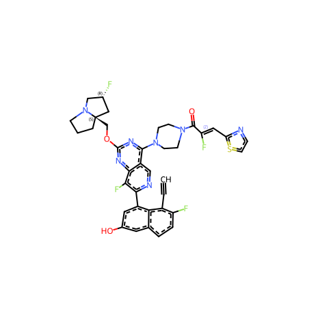 C#Cc1c(F)ccc2cc(O)cc(-c3ncc4c(N5CCN(C(=O)/C(F)=C/c6nccs6)CC5)nc(OC[C@@]56CCCN5C[C@H](F)C6)nc4c3F)c12